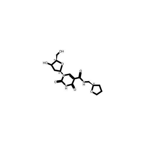 O=C(NC[C@H]1CCCO1)c1cn([C@H]2CC(O)[C@@H](CO)O2)c(=O)[nH]c1=O